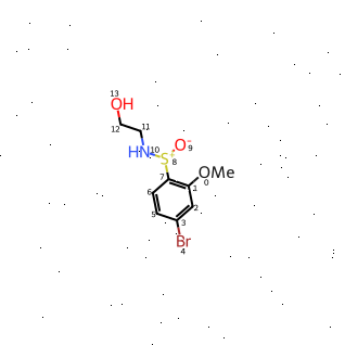 COc1cc(Br)ccc1[S+]([O-])NCCO